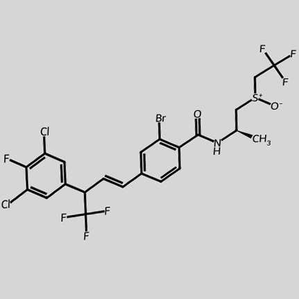 C[C@H](C[S+]([O-])CC(F)(F)F)NC(=O)c1ccc(/C=C/C(c2cc(Cl)c(F)c(Cl)c2)C(F)(F)F)cc1Br